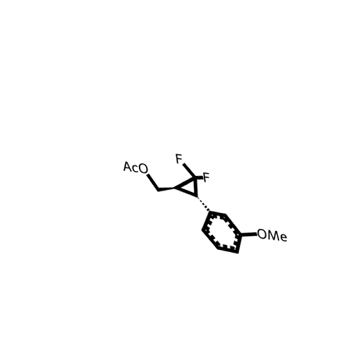 COc1cccc([C@@H]2[C@@H](COC(C)=O)C2(F)F)c1